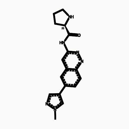 Cn1cc(-c2ccc3nnc(NC(=O)[C@H]4CCCN4)cc3c2)cn1